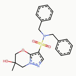 CC1(O)COc2c(S(=O)(=O)N(Cc3ccccc3)Cc3ccccc3)cnn2C1